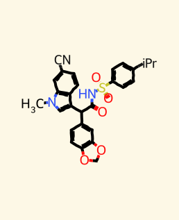 CC(C)c1ccc(S(=O)(=O)NC(=O)C(c2ccc3c(c2)OCO3)c2cn(C)c3cc(C#N)ccc23)cc1